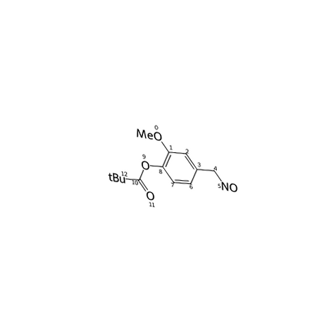 COc1cc(CN=O)ccc1OC(=O)C(C)(C)C